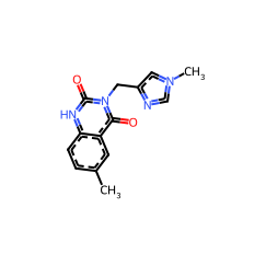 Cc1ccc2[nH]c(=O)n(Cc3cn(C)cn3)c(=O)c2c1